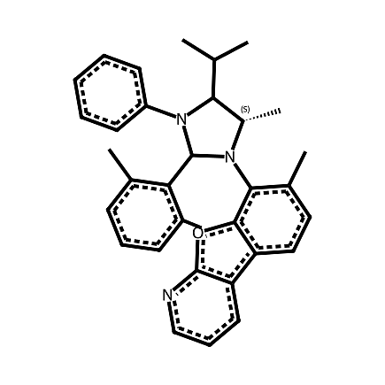 Cc1cccc(C)c1C1N(c2ccccc2)C(C(C)C)[C@H](C)N1c1c(C)ccc2c1oc1ncccc12